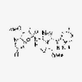 COCC1(n2c(NS(=O)(=O)C(C)C(OC)c3ncc(Cl)cn3)nnc2-c2n[nH]c3ccc(C)cc23)CC1